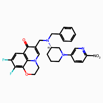 O=c1c(CN(Cc2ccccc2)[C@H]2CCCN(c3ccc([N+](=O)[O-])nc3)C2)cn2c3c(c(F)c(F)cc13)OCC2